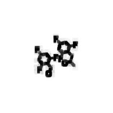 CC(=O)Cc1c(F)cc(F)cc1F.O=Cc1c(F)cc(F)cc1F